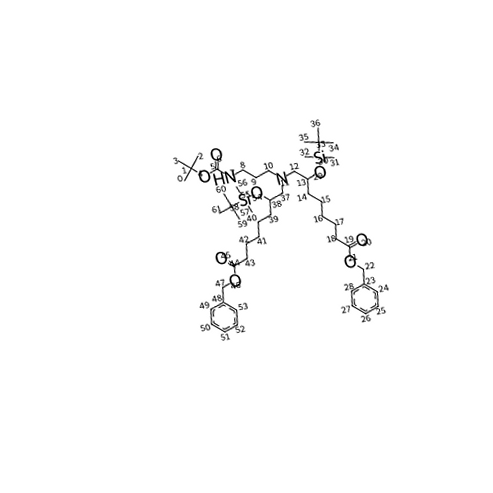 CC(C)(C)OC(=O)NCCCN(CC(CCCCCC(=O)OCc1ccccc1)O[Si](C)(C)C(C)(C)C)CC(CCCCCC(=O)OCc1ccccc1)O[Si](C)(C)C(C)(C)C